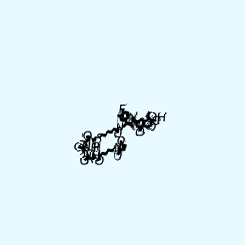 CC[C@@]1(O)C(=O)OCc2c1cc1n(c2=O)Cc2c-1nc1cc(F)c(C)cc1c2CNC(=O)CCCCCSCNC(=O)[C@H](C)NC(=O)[C@@H](C)NC(=O)[C@H](C)NC(=O)CCCCCN1C(=O)C=CC1=O